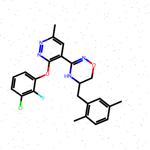 Cc1ccc(C)c(CC2CON=C(c3cc(C)nnc3Oc3cccc(Cl)c3F)N2)c1